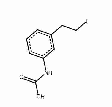 O=C(O)Nc1cccc(CCI)c1